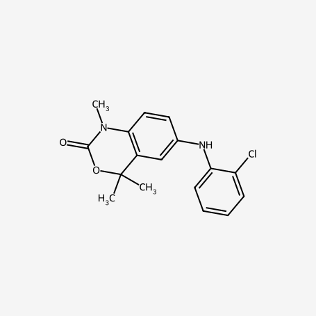 CN1C(=O)OC(C)(C)c2cc(Nc3ccccc3Cl)ccc21